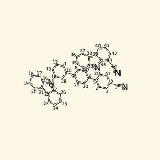 N#Cc1ccc(-c2ccc(-c3cccc(-n4c5ccccc5c5ccccc54)c3)cc2)c(-n2c3ccccc3c3cccc(C#N)c32)c1